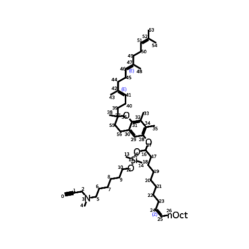 C#CCN(C)CCCCCCO[Si](C)(C)OC(CCCCCCC/C=C\CCCCCCCC)Oc1cc2c(c(C)c1C)OC(C)(CC/C=C(\C)CC/C=C(\C)CCC=C(C)C)CC2